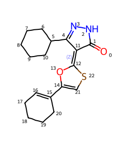 O=C1NN=C(C2CCCCC2)/C1=C1\OC(C2=CCCCC2)=CS1